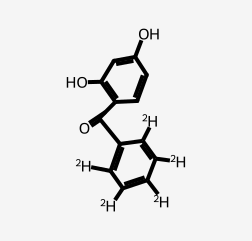 [2H]c1c([2H])c([2H])c(C(=O)c2ccc(O)cc2O)c([2H])c1[2H]